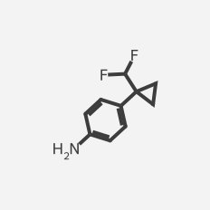 Nc1ccc(C2(C(F)F)CC2)cc1